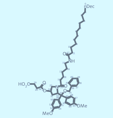 CCCCCCCCCCCCCCCCCCCCCC(=O)NCCCCCC(=O)N1CC(OC(=O)CCC(=O)O)CC1C(OCc1ccccc1)(c1ccc(OC)cc1)c1ccc(OC)cc1